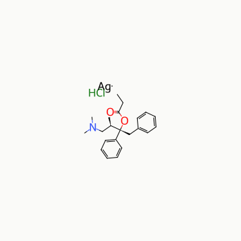 CCC(=O)O[C@](Cc1ccccc1)(c1ccccc1)[C@H](C)CN(C)C.Cl.[Ag]